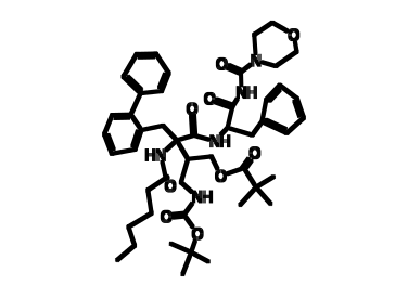 CCCCCC(=O)NC(Cc1ccccc1-c1ccccc1)(C(=O)NC(Cc1ccccc1)C(=O)NC(=O)N1CCOCC1)C(CNC(=O)OC(C)(C)C)COC(=O)C(C)(C)C